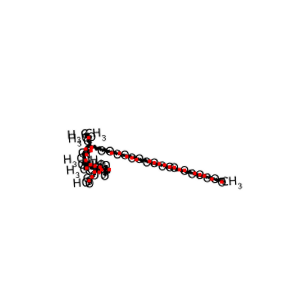 COCCOCCOCCOCCOCCOCCCOCOCCOCCOCCOCCOCCOCCOCCOCCOCCOCCCc1cc(NC(=O)[C@H](C)NC(=O)[C@@H](NC(=O)CN2C(=O)[C@@H](N3C(=O)C=CC3=O)C[C@H]2COCCS(=O)(=O)O)C(C)C)ccc1COC(=O)C(C)(C)C